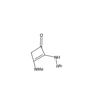 CCCNC1=C(NC)CC1=O